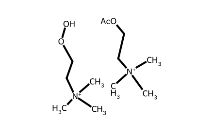 CC(=O)OCC[N+](C)(C)C.C[N+](C)(C)CCOO